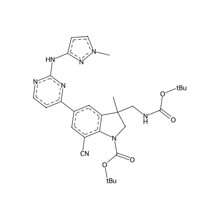 Cn1ccc(Nc2nccc(-c3cc(C#N)c4c(c3)C(C)(CNC(=O)OC(C)(C)C)CN4C(=O)OC(C)(C)C)n2)n1